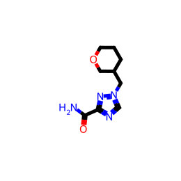 NC(=O)c1ncn(CC2CCCOC2)n1